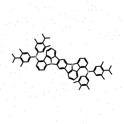 Cc1cc(N(c2cc(C)c(C(C)C)c(C)c2)c2cccc3c2c2cccc4c5cc6c(cc5n3c42)c2cccc3c4c(N(c5cc(C)c(C(C)C)c(C)c5)c5cc(C)c(C(C)C)c(C)c5)cccc4n6c23)cc(C)c1C